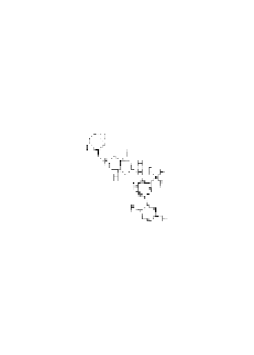 Fc1ccc(F)c(-c2cc(C(F)(F)F)c(NC3C[C@@H]4CN(CC5COCCO5)C[C@@H]4C3)nn2)c1